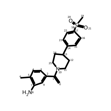 C=C(c1ccc(C)c(N)c1)N1CCC(c2ccc(S(C)(=O)=O)cc2)CC1